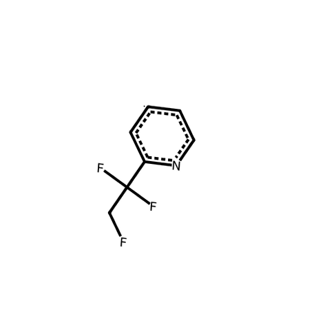 FCC(F)(F)c1c[c]ccn1